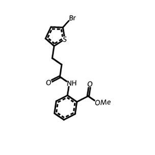 COC(=O)c1ccccc1NC(=O)CCc1ccc(Br)s1